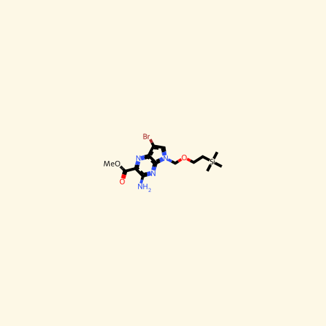 COC(=O)c1nc2c(Br)cn(COCC[Si](C)(C)C)c2nc1N